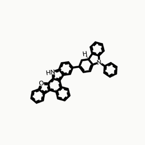 C1=C(c2ccc3[nH]c4c5oc6ccccc6c5c5ccccc5c4c3c2)C[C@@H]2C(=C1)N(c1ccccc1)c1ccccc12